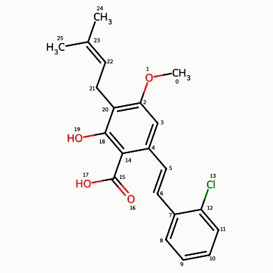 COc1cc(/C=C/c2ccccc2Cl)c(C(=O)O)c(O)c1CC=C(C)C